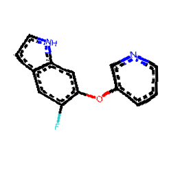 Fc1cc2[c]c[nH]c2cc1Oc1cccnc1